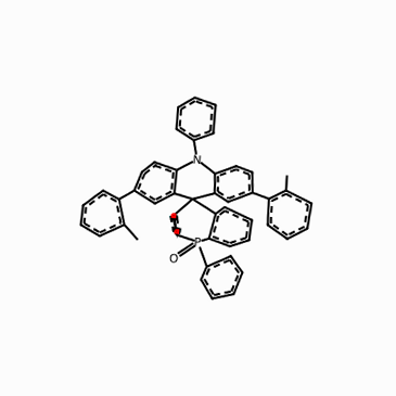 Cc1ccccc1-c1ccc2c(c1)C1(c3cc(-c4ccccc4C)ccc3N2c2ccccc2)c2ccccc2P(=O)(c2ccccc2)c2ccccc21